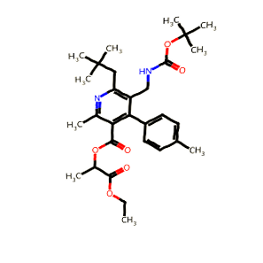 CCOC(=O)C(C)OC(=O)c1c(C)nc(CC(C)(C)C)c(CNC(=O)OC(C)(C)C)c1-c1ccc(C)cc1